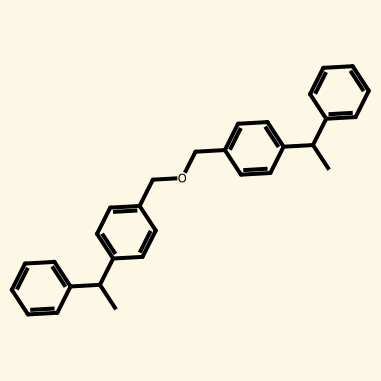 CC(c1ccccc1)c1ccc(COCc2ccc(C(C)c3ccccc3)cc2)cc1